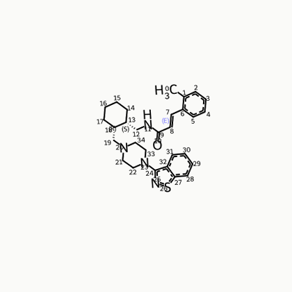 Cc1ccccc1/C=C/C(=O)NC[C@H]1CCCC[C@H]1CN1CCN(c2nsc3ccccc23)CC1